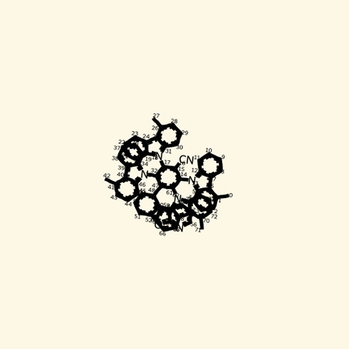 Cc1cccc2c1c1ccccc1n2-c1c(C#N)c(-n2c3ccccc3c3c(C)cccc32)c(-n2c3ccccc3c3c(C)cccc32)c(-c2cccc3oc4ncccc4c23)c1-n1c2ccccc2c2c(C)cccc21